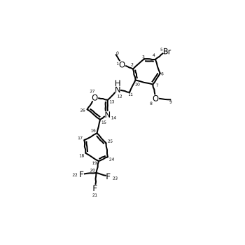 COc1cc(Br)cc(OC)c1CNc1nc(-c2ccc(C(F)(F)F)cc2)co1